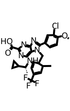 COc1ccc(-c2nc3nc(C(=O)O)nc(N[C@H](C)C4CC4)c3n2CC2C=CC(C(F)(F)F)=CC2C)cc1Cl